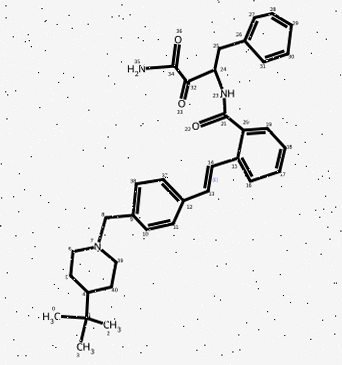 CC(C)(C)C1CCN(Cc2ccc(/C=C/c3ccccc3C(=O)NC(Cc3ccccc3)C(=O)C(N)=O)cc2)CC1